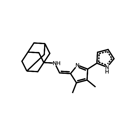 CC1=C(C)C(c2ccc[nH]2)=NC1=CNC12CC3CC(CC(C3)C1)C2